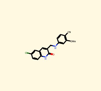 COc1cc(NCc2cc3cc(Cl)ccc3[nH]c2=O)ccc1C#N